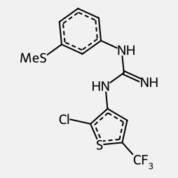 CSc1cccc(NC(=N)Nc2cc(C(F)(F)F)sc2Cl)c1